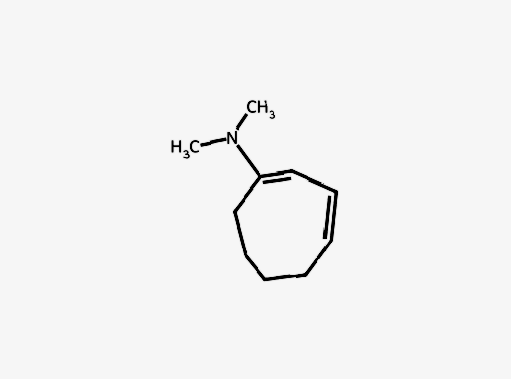 CN(C)/C1=C/C=C\CCCC1